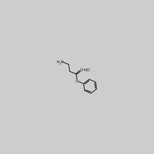 Cl.NCCC(=O)Oc1ccccc1